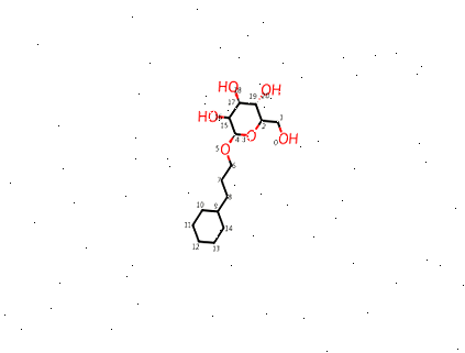 OCC1O[C@@H](OCCCC2CCCCC2)C(O)[C@@H](O)[C@@H]1O